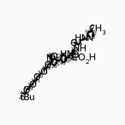 Cc1ccnc(NCCCC(=O)NCC(=O)N[C@@H](CC(=O)O)c2ccc(-c3ccc(OCCOCCOCCOCCOCCC(C)(C)C)c4ncoc34)cc2)c1